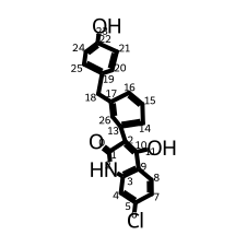 O=c1[nH]c2cc(Cl)ccc2c(O)c1-c1cccc(Cc2ccc(O)cc2)c1